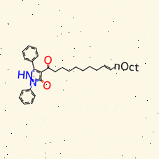 CCCCCCCCC=CCCCCCCCC(=O)c1c(-c2ccccc2)[nH]n(-c2ccccc2)c1=O